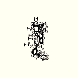 BC(B)(Nc1cccc2c1C(B)(B)N(C1C(=O)NC(=O)C(B)(O)C1(B)O)C2=O)c1cccc(C(B)(B)N2CCOCC2)c1